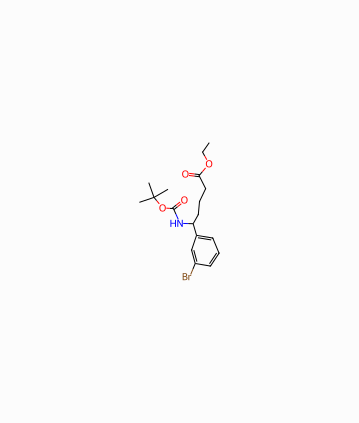 CCOC(=O)CCCC(NC(=O)OC(C)(C)C)c1cccc(Br)c1